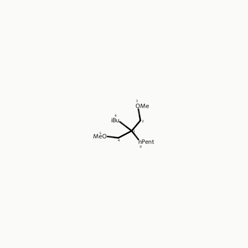 CCCCCC(COC)(COC)C(C)CC